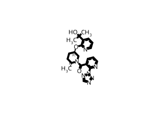 C[C@@H]1CC[C@@H](Oc2ncccc2C(C)(C)O)CN1C(=O)c1cccnc1-n1ncnn1